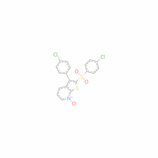 O=S(=O)(c1ccc(Cl)cc1)c1sc2c(ccc[n+]2[O-])c1-c1ccc(Cl)cc1